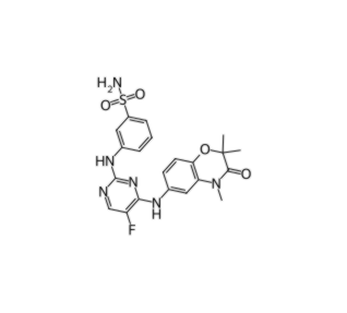 CN1C(=O)C(C)(C)Oc2ccc(Nc3nc(Nc4cccc(S(N)(=O)=O)c4)ncc3F)cc21